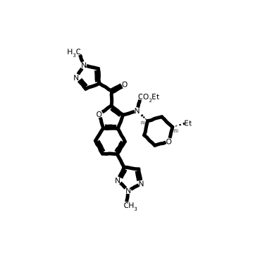 CCOC(=O)N(c1c(C(=O)c2cnn(C)c2)oc2ccc(-c3cnn(C)n3)cc12)[C@H]1CCO[C@@H](CC)C1